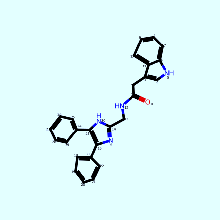 O=C(Cc1c[nH]c2ccccc12)NCc1nc(-c2ccccc2)c(-c2ccccc2)[nH]1